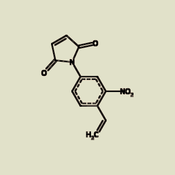 C=Cc1ccc(N2C(=O)C=CC2=O)cc1[N+](=O)[O-]